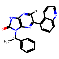 Cc1nc2[nH]c(=O)n([C@H](C)c3ccccc3)c2nc1-c1cccc2ncccc12